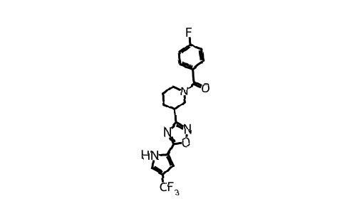 O=C(c1ccc(F)cc1)N1CCCC(c2noc(-c3cc(C(F)(F)F)c[nH]3)n2)C1